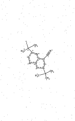 CC(C)(C)c1cc(C#N)c2nc(C(C)(C)I)cnc2c1